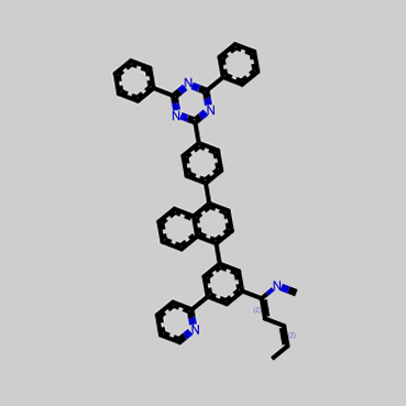 C=N/C(=C\C=C/C)c1cc(-c2ccccn2)cc(-c2ccc(-c3ccc(-c4nc(-c5ccccc5)nc(-c5ccccc5)n4)cc3)c3ccccc23)c1